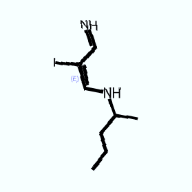 CCCC(C)N/C=C(/I)C=N